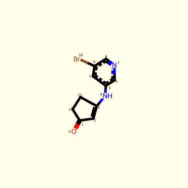 O=C1C=C(Nc2cncc(Br)c2)CC1